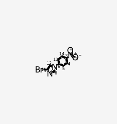 O=[N+]([O-])c1ccc(-n2cnc(Br)c2)cc1